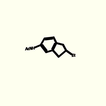 CCC1Cc2ccc(NC(C)=O)cc2C1